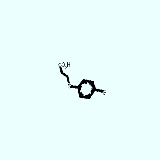 O=C(O)CCSc1ccc(F)cc1